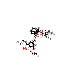 CCCc1cc(COC(=O)C23CC4CC(CC(OC(=O)C(C)(C)CC)(C4)C2)C3)cc(COC)c1O